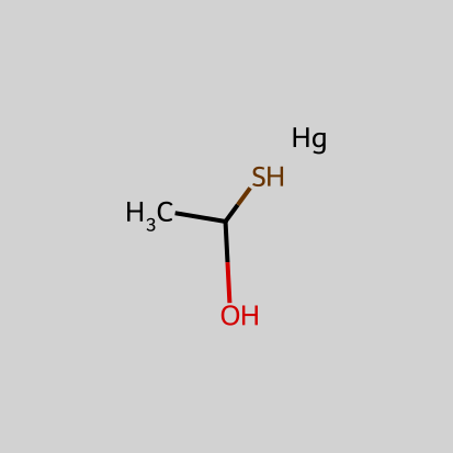 CC(O)S.[Hg]